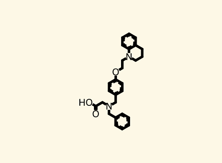 O=C(O)CN(Cc1ccccc1)Cc1ccc(OCCN2CCCc3ccccc32)cc1